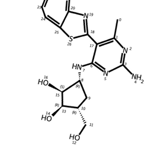 Cc1nc(N)nc(N[C@@H]2C[C@H](CO)[C@@H](O)[C@H]2O)c1-c1nc2ccccc2s1